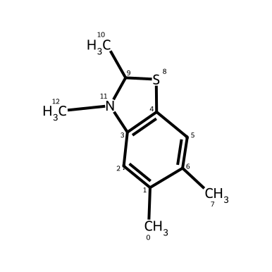 Cc1[c]c2c(cc1C)SC(C)N2C